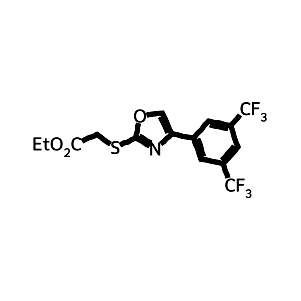 CCOC(=O)CSc1nc(-c2cc(C(F)(F)F)cc(C(F)(F)F)c2)co1